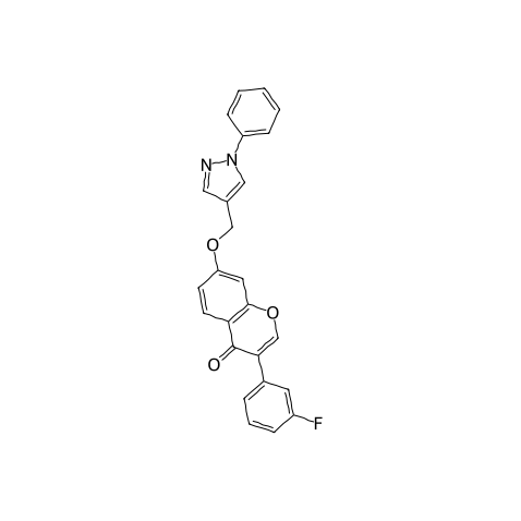 O=c1c(-c2cccc(F)c2)coc2cc(OCc3cnn(-c4ccccc4)c3)ccc12